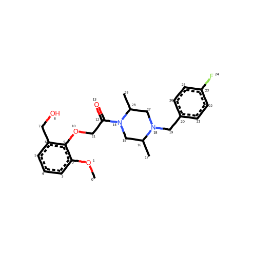 COc1cccc(CO)c1OCC(=O)N1CC(C)N(Cc2ccc(F)cc2)CC1C